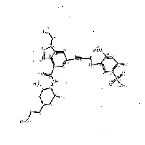 COCCN1C[C@H](C)[C@@H](NC(=O)c2cc(C#CCNc3cc(S(C)(=O)=O)c(F)cc3OC)cc3c2ncn3CC(F)(F)F)[C@@H](F)C1